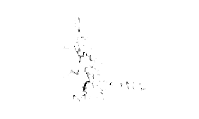 COc1cc(OC)c(Cl)c(-c2cc3cnc(N[C@@H]4CN(C5COC5)C[C@@H]4C)cc3c(N)n2)c1C